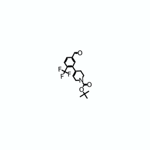 CC(C)(C)OC(=O)N1CC=C(c2cc(C=O)ccc2C(F)(F)F)CC1